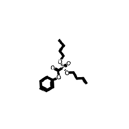 CCCCOP(=O)(OCCCC)C(=O)Oc1ccccc1